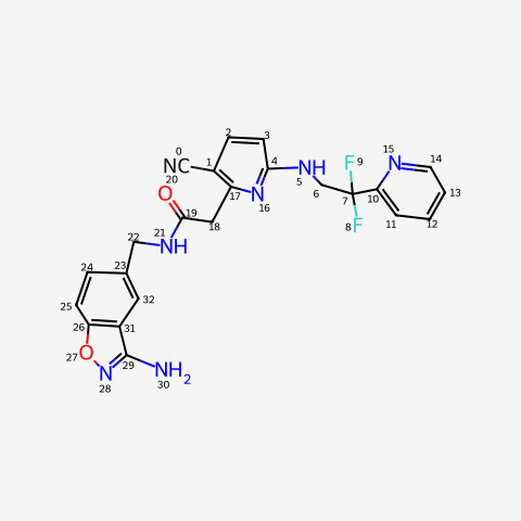 N#Cc1ccc(NCC(F)(F)c2ccccn2)nc1CC(=O)NCc1ccc2onc(N)c2c1